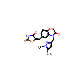 Cc1cc(CN2C(=O)COc3ccc(/C=C4/SC(=S)NC4=O)cc32)nn1C